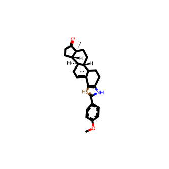 COc1ccc(C2=[SH]C3=C(CC[C@@]4(C)C3=CC[C@@H]3[C@@H]4CC[C@]4(C)C(=O)CC[C@@H]34)N2)cc1